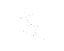 Cn1cc([N+](=O)[O-])nc1S(C)(=O)=O